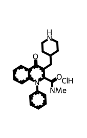 CNC(=O)c1c(CC2CCNCC2)c(=O)c2ccccc2n1-c1ccccc1.Cl